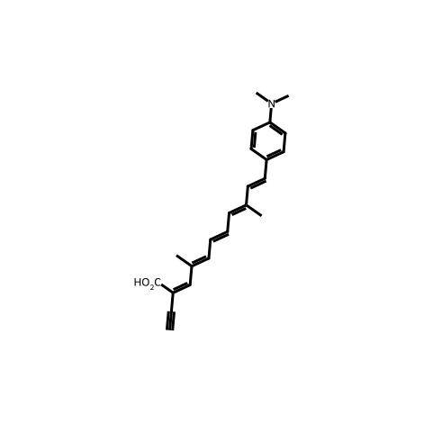 C#C/C(=C/C(C)=C/C=C/C=C(C)/C=C/c1ccc(N(C)C)cc1)C(=O)O